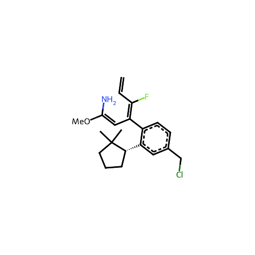 C=C/C(F)=C(\C=C(/N)OC)c1ccc(CCl)cc1[C@@H]1CCCC1(C)C